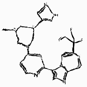 C[C@H]1C[C@@H](c2cn[nH]c2)CN(c2ccnc(-c3cnc4cnc(C(F)(F)F)cn34)n2)C1